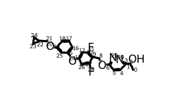 CC(O)c1ccc(OCc2c(F)cc(Oc3cccc(OCC4CC4)c3)cc2F)nn1